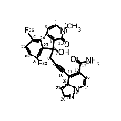 Cn1cccc(C(O)(CC#Cc2c(C(N)=O)ccn3nccc23)c2cc(F)ccc2F)c1=O